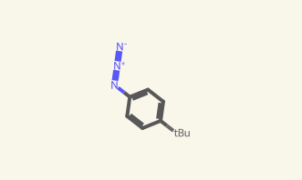 CC(C)(C)c1ccc(N=[N+]=[N-])cc1